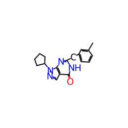 Cc1cccc(Cc2nc3c(cnn3C3CCCC3)c(=O)[nH]2)c1